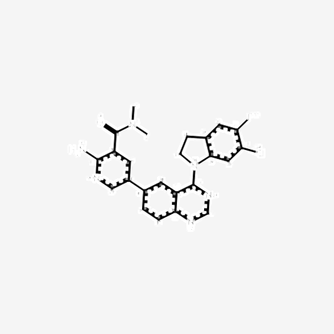 CN(C)C(=O)c1cc(-c2ccc3ncnc(N4CCc5cc(F)c(Cl)cc54)c3c2)cnc1N